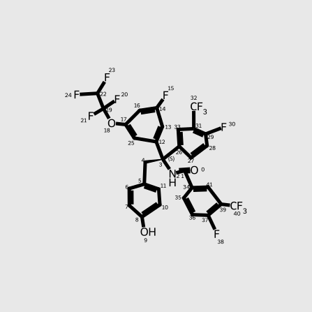 O=C(N[C@](Cc1ccc(O)cc1)(c1cc(F)cc(OC(F)(F)C(F)F)c1)c1ccc(F)c(C(F)(F)F)c1)c1ccc(F)c(C(F)(F)F)c1